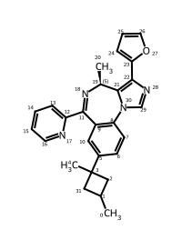 CC1CC(C)(c2ccc3c(c2)C(c2ccccn2)=N[C@@H](C)c2c(-c4ccco4)ncn2-3)C1